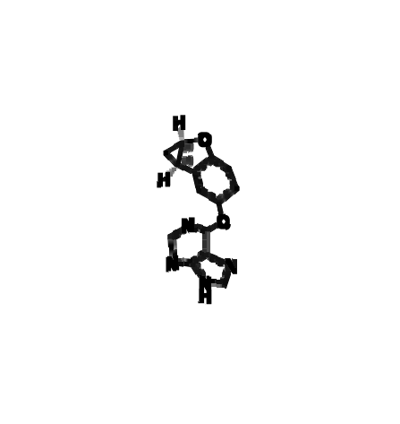 c1nc(Oc2ccc3c(c2)[C@H]2C[C@H]2O3)c2nc[nH]c2n1